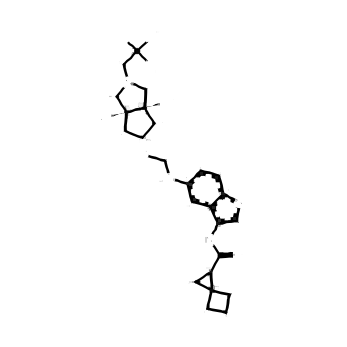 O=C(Nc1c[nH]c2ccc(OCC[C@@H]3C[C@@H]4CN(CC(F)(F)F)C[C@@H]4C3)cc12)C1CC12CCC2